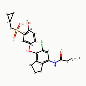 O=C(O)CC(=O)Nc1cc(Cl)c(Oc2ccc(O)c(S(=O)(=O)CC3CC3)c2)c2c1CCC2